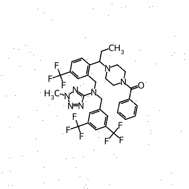 CCC(c1ccc(C(F)(F)F)cc1CN(Cc1cc(C(F)(F)F)cc(C(F)(F)F)c1)c1nnn(C)n1)N1CCN(C(=O)c2ccccc2)CC1